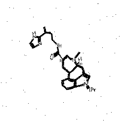 CC(CCNC(=O)[C@@H]1CC2c3cccc4c3c(cn4C(C)C)C[C@H]2N(C)C1)c1ncc[nH]1